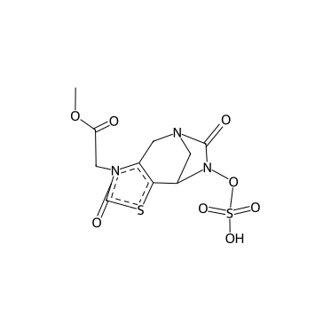 COC(=O)Cn1c2c(sc1=O)C1CN(C2)C(=O)N1OS(=O)(=O)O